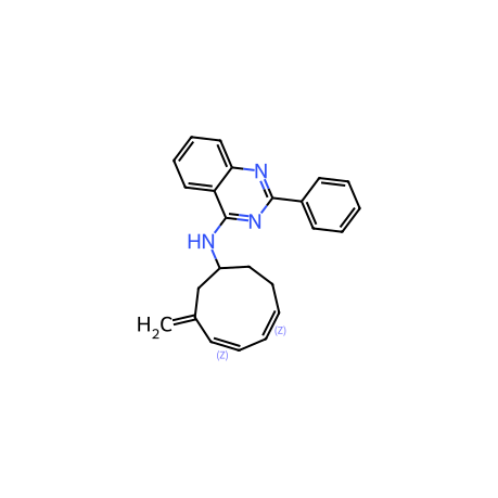 C=C1/C=C\C=C/CCC(Nc2nc(-c3ccccc3)nc3ccccc23)C1